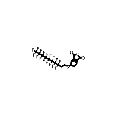 O=C1OC(=O)C2C3CC(CC3SCCC(F)(F)C(F)(F)C(F)(F)C(F)(F)C(F)(F)C(F)(F)C(F)(F)C(F)(F)F)C12